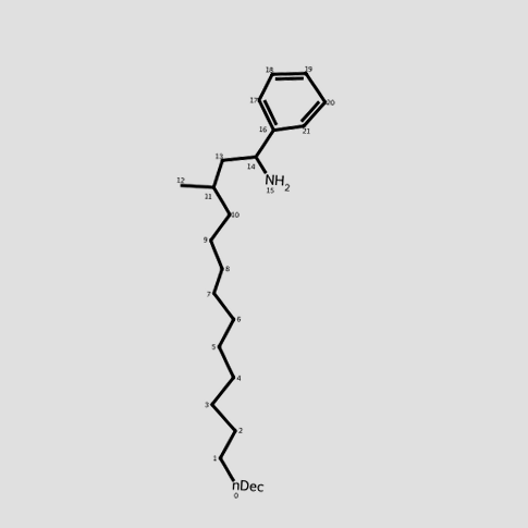 CCCCCCCCCCCCCCCCCCCCC(C)CC(N)c1ccccc1